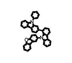 c1ccc(-n2c3ccccc3c3ccc(-c4cccc5c6ccccc6n(-c6ccc7oc8ccccc8c7c6)c45)cc32)cc1